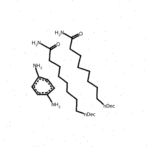 CCCCCCCCCCCCCCCCCC(N)=O.CCCCCCCCCCCCCCCCCC(N)=O.Nc1ccc(N)cc1